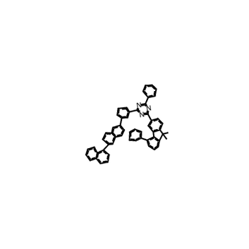 CC1(C)c2ccc(-c3nc(-c4ccccc4)nc(-c4cccc(-c5ccc6cc(-c7cccc8ccccc78)ccc6c5)c4)n3)cc2-c2c(-c3ccccc3)cccc21